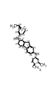 C=C/C=C\C(=C/C=C)Nc1ccc2c(c1)Cc1cc(NC(/C=C\C)=C/C=C\C)ccc1-2